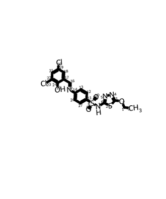 CCOc1nnc(NS(=O)(=O)c2ccc(/N=C/c3cc(Cl)cc(Cl)c3O)cc2)s1